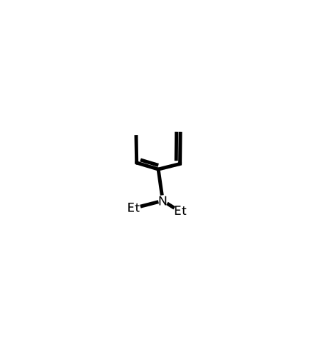 C=CC(=CC)N(CC)CC